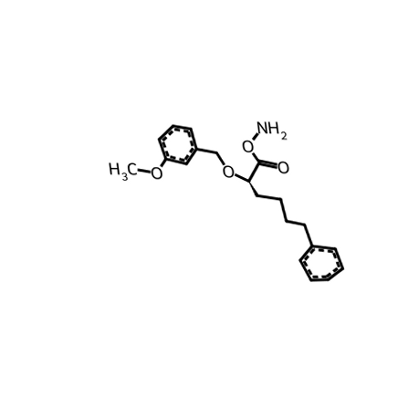 COc1cccc(CO[C@H](CCCCc2ccccc2)C(=O)ON)c1